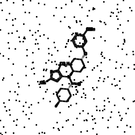 COc1cc(O[C@H]2CC[C@H](N(c3cc(C(C)(C)C)sc3C(=O)O)C(=O)[C@H]3CC[C@H](C)CC3)CC2)ccn1